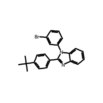 CC(C)(C)c1ccc(-c2nc3ccccc3n2-c2cccc(Br)c2)cc1